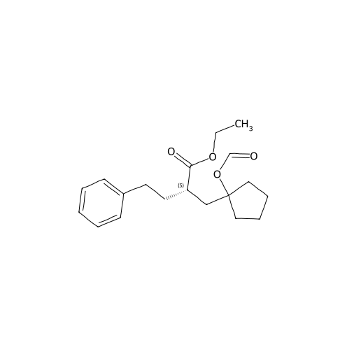 CCOC(=O)[C@@H](CCc1ccccc1)CC1(OC=O)CCCC1